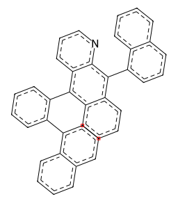 c1ccc(-c2c3ccccc3c(-c3cccc4ccccc34)c3ncccc23)c(-c2cccc3ccccc23)c1